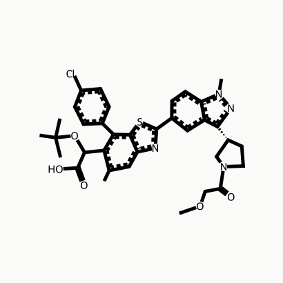 COCC(=O)N1CC[C@@H](c2nn(C)c3ccc(-c4nc5cc(C)c(C(OC(C)(C)C)C(=O)O)c(-c6ccc(Cl)cc6)c5s4)cc23)C1